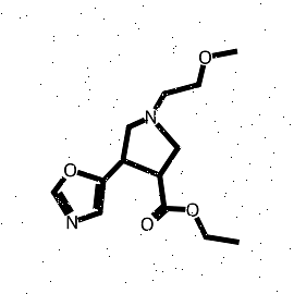 CCOC(=O)C1CN(CCOC)CC1c1cnco1